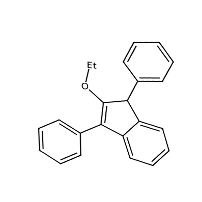 CCOC1=C(c2ccccc2)c2ccccc2C1c1ccccc1